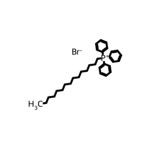 CCCCCCCCCCCCCCC[P+](c1ccccc1)(c1ccccc1)c1ccccc1.[Br-]